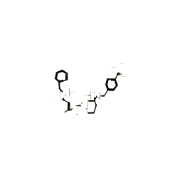 Cc1nc(N2CCCC(NCc3ccc(C(F)(F)F)cc3)C2=O)sc1C(=O)NCc1ccccc1